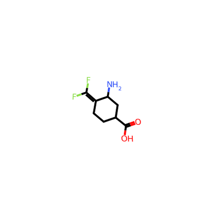 NC1CC(C(=O)O)CCC1=C(F)F